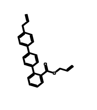 C=CCOC(=O)c1ccccc1-c1ccc(-c2ccc(CC=C)cc2)cc1